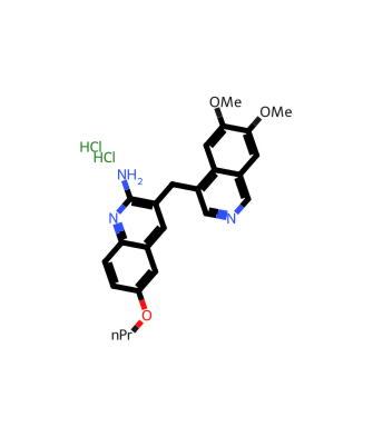 CCCOc1ccc2nc(N)c(Cc3cncc4cc(OC)c(OC)cc34)cc2c1.Cl.Cl